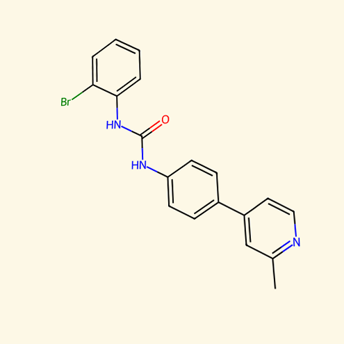 Cc1cc(-c2ccc(NC(=O)Nc3ccccc3Br)cc2)ccn1